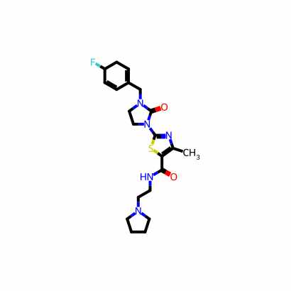 Cc1nc(N2CCN(CC3=CCC(F)C=C3)C2=O)sc1C(=O)NCCN1CCCC1